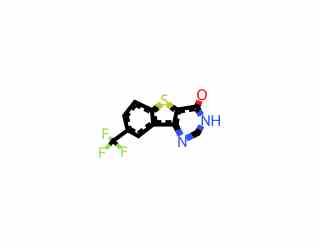 O=c1[nH]cnc2c1sc1ccc(C(F)(F)F)cc12